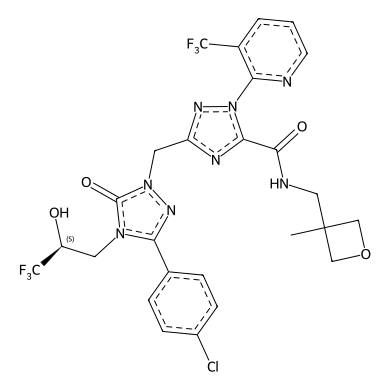 CC1(CNC(=O)c2nc(Cn3nc(-c4ccc(Cl)cc4)n(C[C@H](O)C(F)(F)F)c3=O)nn2-c2ncccc2C(F)(F)F)COC1